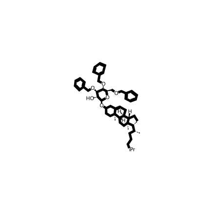 CC(C)CCC[C@@H](C)[C@H]1CC[C@H]2[C@@H]3CC=C4CC(O[C@@H]5O[C@H](COCc6ccccc6)[C@@H](OCc6ccccc6)[C@H](OCc6ccccc6)[C@H]5O)CC[C@]4(C)[C@H]3CC[C@]12C